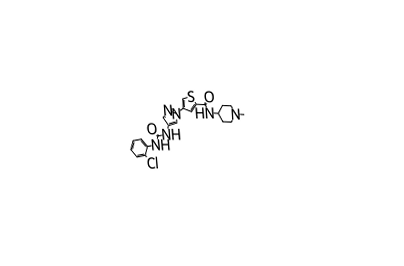 CN1CCC(NC(=O)c2cc(-n3cc(NC(=O)Nc4ccccc4Cl)cn3)cs2)CC1